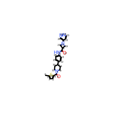 Cc1ccc(C(=O)N2CCC(c3ccc(NC(=O)C4CN(c5ccnnc5)C4)cc3)CC2)s1